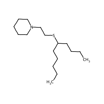 CCCCCC(CCCC)SCCN1CCCCC1